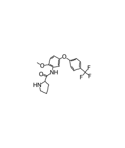 COc1ccc(Oc2ccc(C(F)(F)F)cc2)cc1NC(=O)C1CCCN1